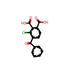 O=C(c1ccccc1)c1ccc(C(=O)O)c(C(=O)O)c1Cl